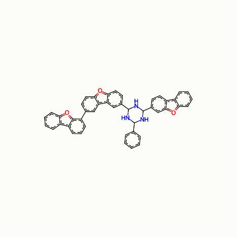 c1ccc(C2NC(c3ccc4c(c3)oc3ccccc34)NC(c3ccc4oc5ccc(-c6cccc7c6oc6ccccc67)cc5c4c3)N2)cc1